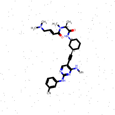 CCCNc1nc(Nc2cccc(C#N)c2)ncc1C#C[C@@H]1CCC[C@H](NC(=O)[C@H](C)N(C)C(=O)/C=C/CN(C)C)C1